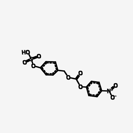 O=C(OCc1ccc(OS(=O)(=O)O)cc1)Oc1ccc([N+](=O)[O-])cc1